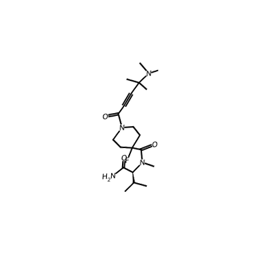 CC(C)[C@@H](C(N)=O)N(C)C(=O)C1(F)CCN(C(=O)C#CC(C)(C)N(C)C)CC1